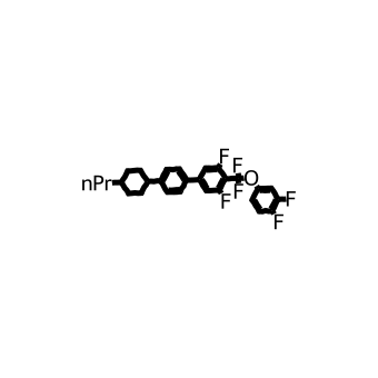 CCCC1CCC(c2ccc(-c3cc(F)c(C(F)(F)Oc4ccc(F)c(F)c4)c(F)c3)cc2)CC1